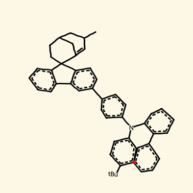 CC1C=C2CC(CCC23c2ccccc2-c2cc(-c4ccc(N(c5ccc(C(C)(C)C)cc5)c5ccccc5-c5ccccc5)cc4)ccc23)C1